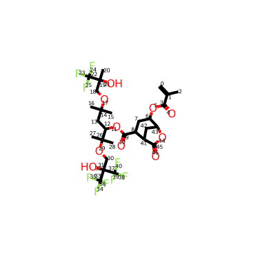 C=C(C)C(=O)OC1CC(C(=O)OC(CC(C)(C)OCC(C)(O)C(F)(F)F)C(C)(C)OCC(O)(C(F)(F)F)C(F)(F)F)C2CC1OC2=O